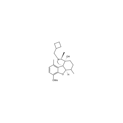 COc1ccc(C)c2c1O[C@@H]1C(C)CC[C@]3(O)[C@H](C)N(CC4CCC4)CC[C@@]213